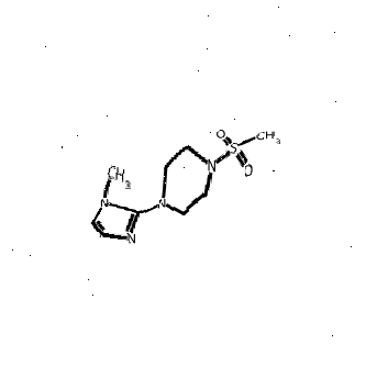 Cn1c[c]nc1N1CCN(S(C)(=O)=O)CC1